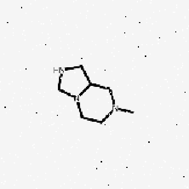 IN1CCN2CNCC2C1